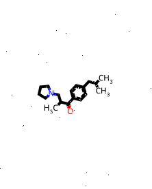 CC(C)Cc1ccc(C(=O)C(C)CN2CCCC2)cc1